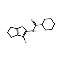 CC(=O)c1c(NC(=O)C2CCCCC2)sc2c1CCC2